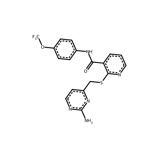 Nc1nccc(CSc2ncccc2C(=O)Nc2ccc(OC(F)(F)F)cc2)n1